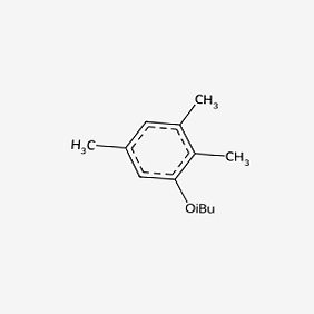 Cc1cc(C)c(C)c(OCC(C)C)c1